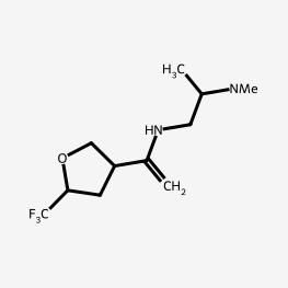 C=C(NCC(C)NC)C1COC(C(F)(F)F)C1